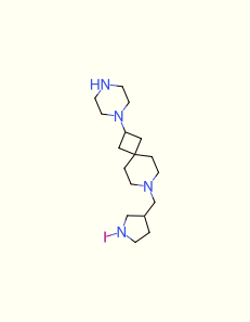 IN1CCC(CN2CCC3(CC2)CC(N2CCNCC2)C3)C1